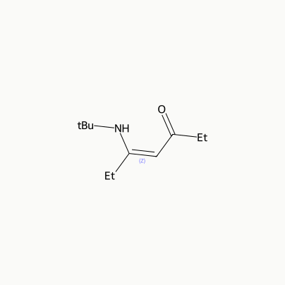 CCC(=O)/C=C(/CC)NC(C)(C)C